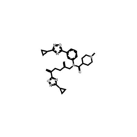 C=C(CCC(=C)c1nc(C2CC2)no1)CN(C(=O)C1CCN(C)CC1)c1cccc(-c2nc(C3CC3)no2)c1